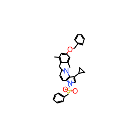 Cc1cc(OCc2ccccc2)cc(C)c1Cc1ccc2c(n1)c(C1CC1)cn2S(=O)(=O)Cc1ccccc1